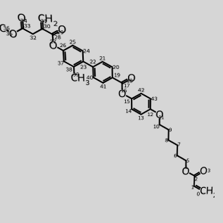 C=CC(=O)OCCCCCCOc1ccc(OC(=O)c2ccc(-c3ccc(OC(=O)C(=C)CC(=O)OC)cc3C)cc2)cc1